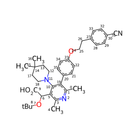 Cc1nc(C)c(C(OC(C)(C)C)C(=O)O)c(N2CCC(C)(C)CC2)c1-c1ccc(OCCc2ccc(C#N)cc2)cc1